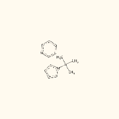 C[Si](C)(C)n1cccc1.c1ccncc1